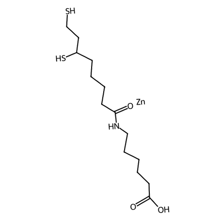 O=C(O)CCCCCNC(=O)CCCCC(S)CCS.[Zn]